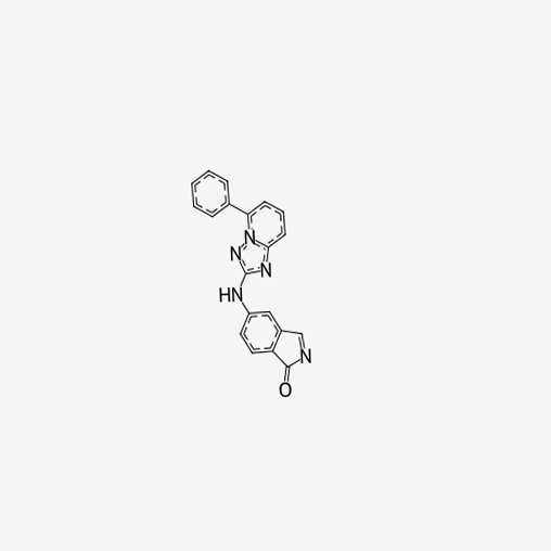 O=C1N=Cc2cc(Nc3nc4cccc(-c5ccccc5)n4n3)ccc21